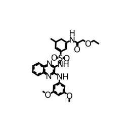 CCOCC(=O)NC1=CC(S(=O)(=O)Nc2nc3ccccc3nc2Nc2cc(OC)cc(OC)c2)=CC(C)C1